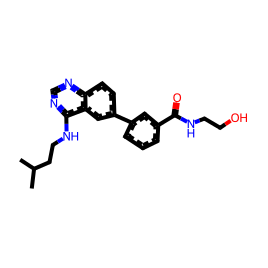 CC(C)CCNc1ncnc2ccc(-c3cccc(C(=O)NCCO)c3)cc12